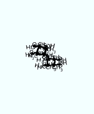 CC1=C(CCC(=O)O)c2cc3nc(cc4[nH]c(cc5[nH]c(cc1n2)c(C)c5C(C)O)c(C)c4C(C)OC(C)c1c(C)c2cc4nc(cc5nc(cc6[nH]c(cc1[nH]2)c(C)c6C(C)O)C(C)=C5CCC(=O)O)C(CCC(=O)O)=C4C)C(C)=C3CCC(=O)O